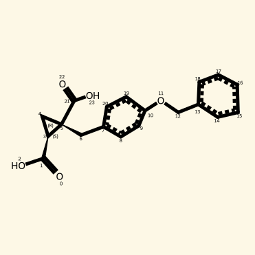 O=C(O)[C@H]1C[C@]1(Cc1ccc(OCc2ccccc2)cc1)C(=O)O